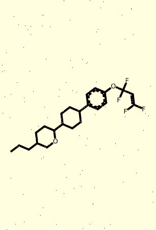 CCCC1CCC(C2CCC(c3ccc(OC(F)(F)C=C(F)F)cc3)CC2)OC1